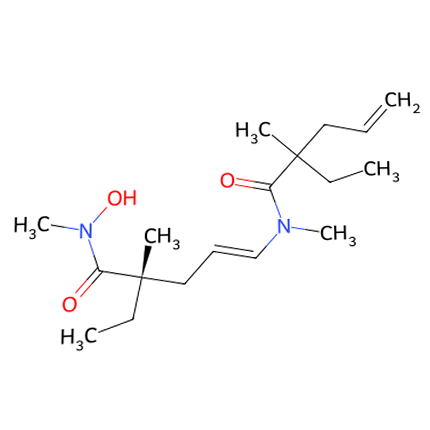 C=CCC(C)(CC)C(=O)N(C)/C=C/C[C@](C)(CC)C(=O)N(C)O